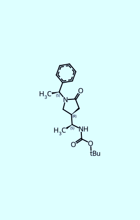 C[C@H](NC(=O)OC(C)(C)C)[C@@H]1CC(=O)N([C@@H](C)c2ccccc2)C1